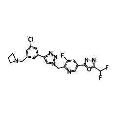 Fc1cc(-c2nnc(C(F)F)o2)cnc1Cn1cc(-c2cc(Cl)cc(CN3CCC3)c2)nn1